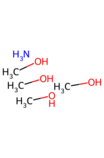 CO.CO.CO.CO.N